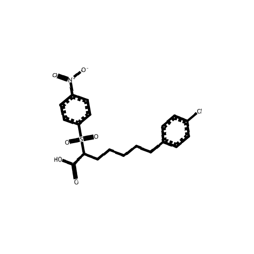 O=C(O)C(CCCCCc1ccc(Cl)cc1)S(=O)(=O)c1ccc([N+](=O)[O-])cc1